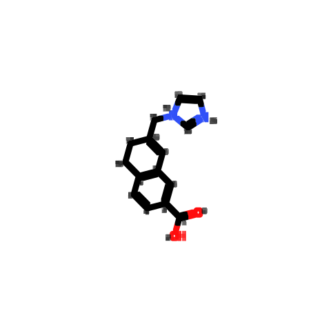 O=C(O)c1ccc2c(c1)C=C(Cn1ccnc1)CC2